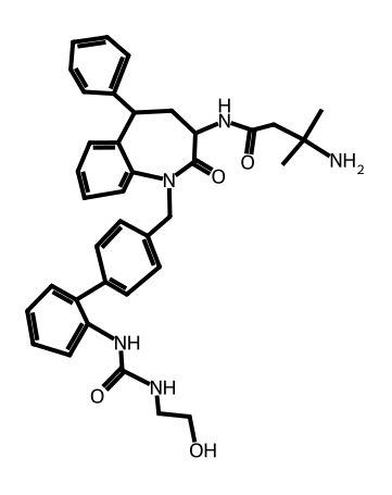 CC(C)(N)CC(=O)NC1CC(c2ccccc2)c2ccccc2N(Cc2ccc(-c3ccccc3NC(=O)NCCO)cc2)C1=O